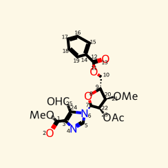 COC(=O)c1ncn([C@@H]2O[C@H](COC(=O)c3ccccc3)[C@@H](OC)[C@H]2OC(C)=O)c1C=O